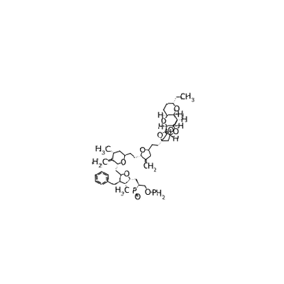 C=C1CC(CC[C@@]23C[C@H]4O[C@H]5[C@@H](O2)[C@H]2O[C@@H](CC)CC[C@@H]2O[C@H]5[C@H]4O3)O[C@H]1CCC1C[C@@H](C)C(=C)[C@@H](CC2O[C@H](C[C@@H](COP)P=O)[C@H](C)[C@H]2Cc2ccccc2)O1